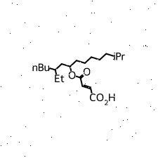 CCCCC(CC)CC(CCCCCC(C)C)OC(=O)C=CC(=O)O